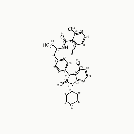 O=C(NC(Cc1ccc(-n2c(=O)n(C3CCOCC3)c3cccc(Cl)c32)cc1)C(=O)O)c1c(F)cccc1Cl